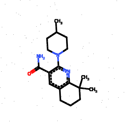 CC1CCN(c2nc3c(cc2C(N)=O)CCCC3(C)C)CC1